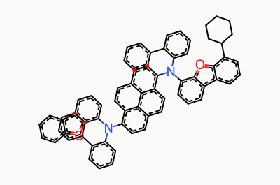 c1ccc(-c2ccccc2N(c2ccc3ccc4c(N(c5ccccc5-c5ccccc5)c5cccc6c5oc5c(C7CCCCC7)cccc56)ccc5ccc2c3c54)c2cccc3c2oc2ccccc23)cc1